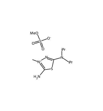 CC(C)N(c1n[n+](C)c(N)s1)C(C)C.COS(=O)(=O)[O-]